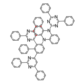 c1ccc(-c2cc(-c3ccc(N4c5ccccc5N(c5nc(-c6ccccc6)nc(-c6ccccc6)n5)c5ccccc54)c(-c4cc(-c5ccccc5)nc(-c5ccccc5)n4)c3-c3ccccc3)nc(-c3ccccc3)n2)cc1